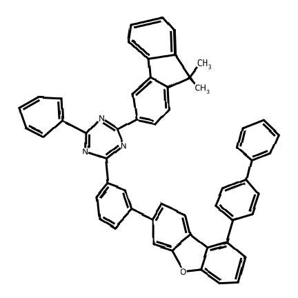 CC1(C)c2ccccc2-c2cc(-c3nc(-c4ccccc4)nc(-c4cccc(-c5ccc6c(c5)oc5cccc(-c7ccc(-c8ccccc8)cc7)c56)c4)n3)ccc21